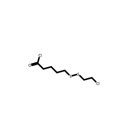 O=C(Cl)CCCCSSCCCl